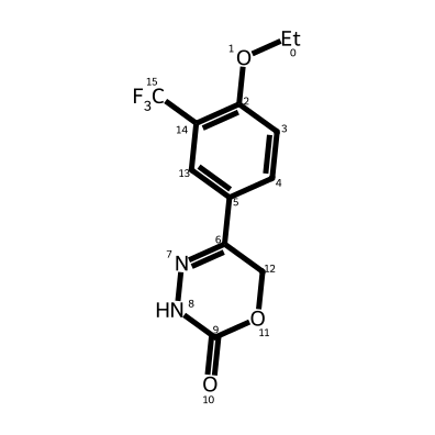 CCOc1ccc(C2=NNC(=O)OC2)cc1C(F)(F)F